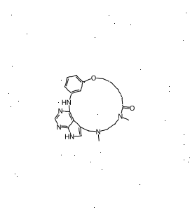 CN1CCN(C)C(=O)CCCCOc2cccc(c2)Nc2ncnc3[nH]cc(c23)C1